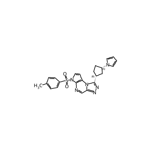 Cc1ccc(S(=O)(=O)n2ccc3c2ncc2nnc([C@@H]4CC[C@H](n5cccc5)C4)n23)cc1